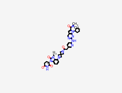 CN(C)C(=O)c1cc2cnc(Nc3ccc(CC(=O)N4CC5(C4)CN(c4cccc6c4n(C)c(=O)n6[C@H]4CCC(=O)NC4=O)C5)cn3)nc2n1C1CCCC1